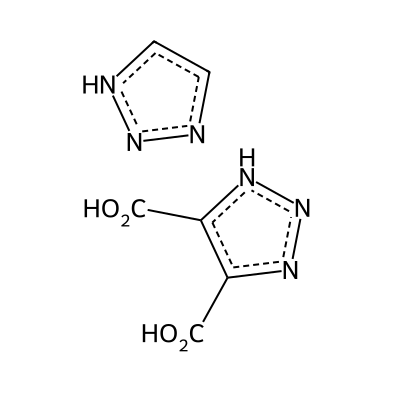 O=C(O)c1nn[nH]c1C(=O)O.c1c[nH]nn1